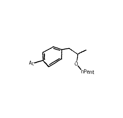 CCCCCOC(C)Cc1ccc(C(C)=O)cc1